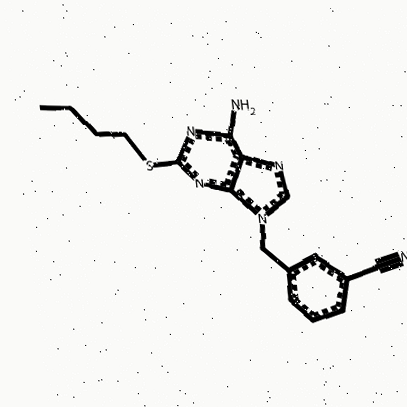 CCCCSc1nc(N)c2ncn(Cc3cccc(C#N)c3)c2n1